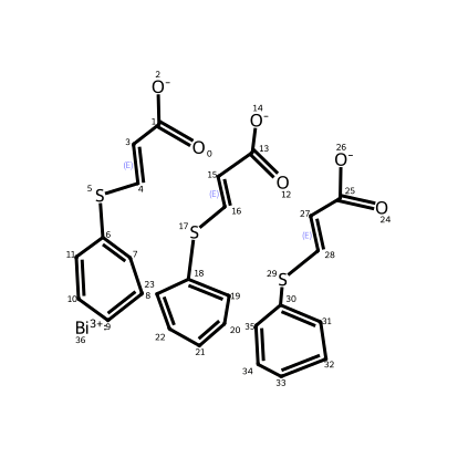 O=C([O-])/C=C/Sc1ccccc1.O=C([O-])/C=C/Sc1ccccc1.O=C([O-])/C=C/Sc1ccccc1.[Bi+3]